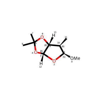 CO[C@H]1O[C@@H]2OC(C)(C)O[C@@H]2[C@H]1C